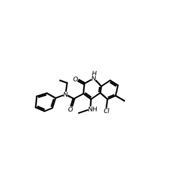 CCN(C(=O)c1c(NC)c2c(Cl)c(C)ccc2[nH]c1=O)c1ccccc1